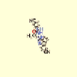 C[C@@H](CNc1nnc(-c2ccc(C#N)cc2)c2ccccc12)NC(=O)Nc1ccc(C#N)cc1